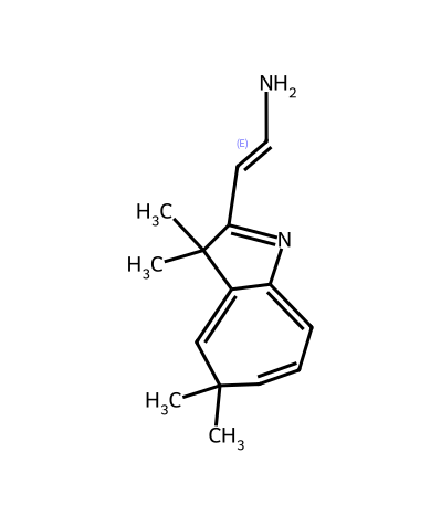 CC1(C)C=CC=C2N=C(/C=C/N)C(C)(C)C2=C1